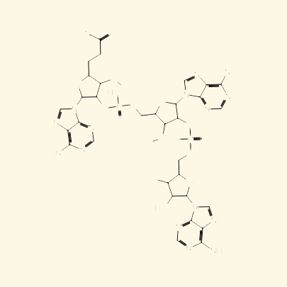 C=C(N)CCC1OC(n2cnc3c(N)ncnc32)C(OP(=O)(O)OCC2OC(n3cnc4c(N)ncnc43)C(OP(=O)(O)OCC3OC(n4cnc5c(N)ncnc54)C(O)C3O)C2OC)C1OC